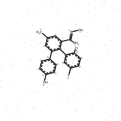 Cc1cc(/C(N)=N/O)c(-c2cc(F)ccc2Cl)c(-c2ccc(O)cc2)c1